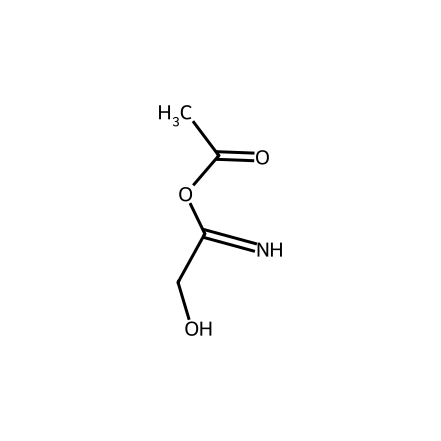 CC(=O)OC(=N)CO